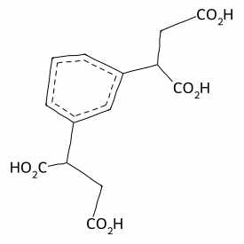 O=C(O)CC(C(=O)O)c1cccc(C(CC(=O)O)C(=O)O)c1